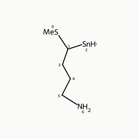 CS[CH]([SnH])CCCN